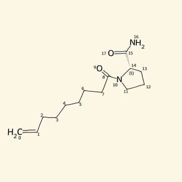 C=CCCCCCCC(=O)N1CCC[C@H]1C(N)=O